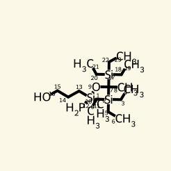 CC[Si](CC)(CC)C(C)(O[Si](C)(P)CCCO)[Si](CC)(CC)CC